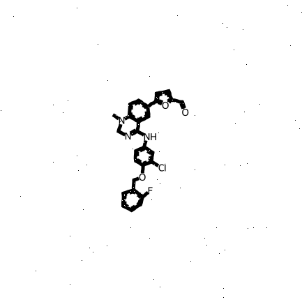 CN1CN=C(Nc2ccc(OCc3ccccc3F)c(Cl)c2)c2cc(-c3ccc(C=O)o3)ccc21